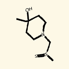 CS(=S)CN1CCC(C)(O)CC1